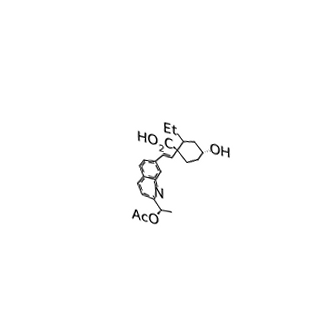 CCC1C[C@H](O)CC[C@@]1(C=Cc1ccc2ccc([C@@H](C)OC(C)=O)nc2c1)C(=O)O